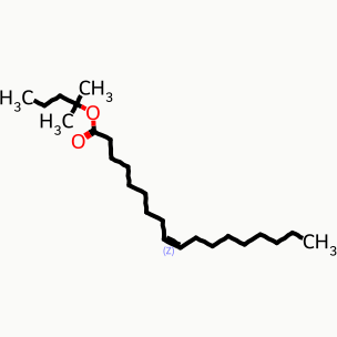 CCCCCCCC/C=C\CCCCCCCC(=O)OC(C)(C)CCC